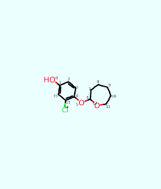 Oc1ccc(OC2CCCCCO2)c(Cl)c1